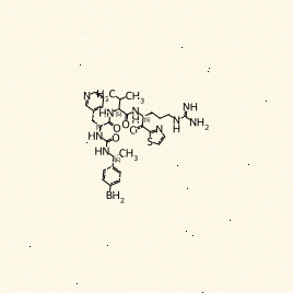 Bc1ccc([C@@H](C)NC(=O)N[C@@H](Cc2cccnc2)C(=O)N[C@H](C(=O)N[C@@H](CCCNC(=N)N)C(=O)c2nccs2)C(C)C)cc1